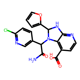 NC(=O)C(c1ccc(Cl)nc1)N1c2c(C(=O)O)ccnc2NC1c1ccco1